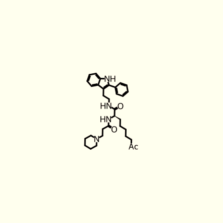 CC(=O)CCCCC[C@@H](NC(=O)CCN1CCCCC1)C(=O)NCCc1c(-c2ccccc2)[nH]c2ccccc12